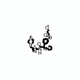 COCCCS(=O)(=O)c1ccc(/C(=N\N2CCCC2)C(=O)Nc2ncc(CN3CCN(C)CC3)s2)cc1